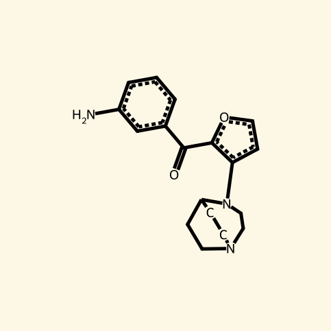 Nc1cccc(C(=O)c2occc2N2CCN3CCC2CC3)c1